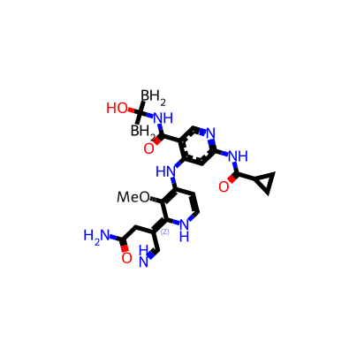 BC(B)(O)NC(=O)c1cnc(NC(=O)C2CC2)cc1NC1=C(OC)/C(=C(/C=N)CC(N)=O)NC=C1